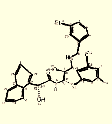 CCc1cccc(CNC[C@H](O)[C@H](Cc2cc(F)cc(F)c2)NC(=O)[C@H](O)c2cccc3ccccc23)c1